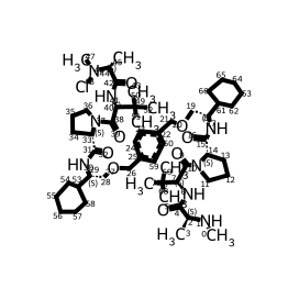 CN[C@@H](C)C(=O)N[C@H](C(=O)N1CCC[C@H]1C(=O)N[C@H](COCc1ccc(COC[C@@H](NC(=O)[C@@H]2CCCN2C(=O)[C@@H](NC(=O)[C@H](C)N(C)Cl)C(C)(C)C)C2CCCCC2)cc1)C1CCCCC1)C(C)(C)C